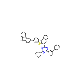 CC1(C)c2ccccc2-c2cc(-c3ccc4c(c3)sc3c(-c5nc(-c6ccccc6)nc(-c6cccc(-c7ccccc7)c6)n5)cc5ccccc5c34)ccc21